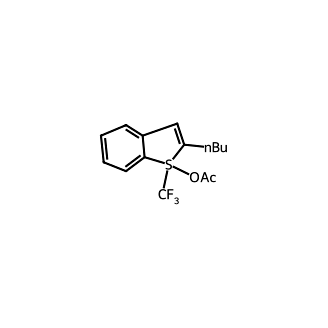 CCCCC1=Cc2ccccc2S1(OC(C)=O)C(F)(F)F